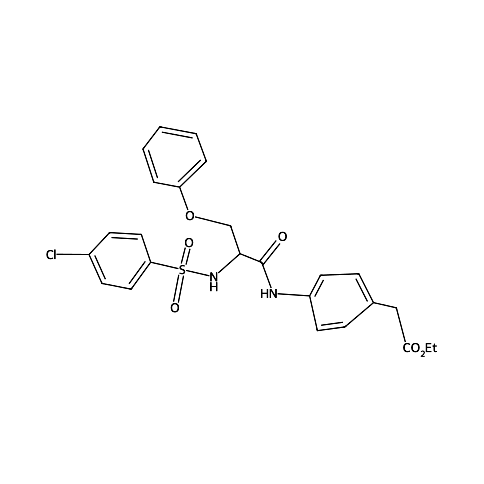 CCOC(=O)Cc1ccc(NC(=O)C(COc2ccccc2)NS(=O)(=O)c2ccc(Cl)cc2)cc1